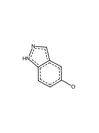 [O]c1ccc2[nH]ncc2c1